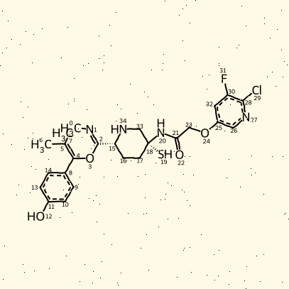 C/N=C(\OC(=C(C)C)c1ccc(O)cc1)[C@H]1CC[C@](S)(NC(=O)COc2cnc(Cl)c(F)c2)CN1